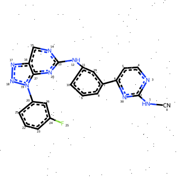 N#CNc1nccc(-c2cccc(Nc3ncc4nnn(-c5cccc(F)c5)c4n3)c2)n1